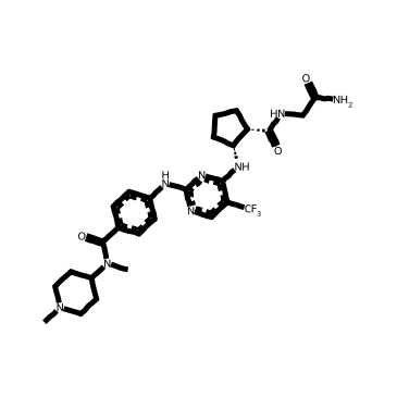 CN1CCC(N(C)C(=O)c2ccc(Nc3ncc(C(F)(F)F)c(N[C@@H]4CCC[C@@H]4C(=O)NCC(N)=O)n3)cc2)CC1